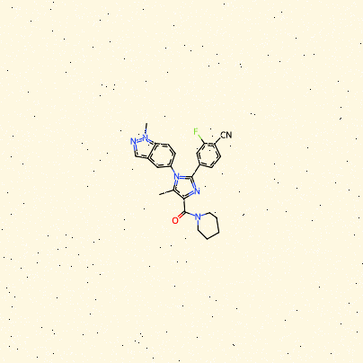 Cc1c(C(=O)N2CCCCC2)nc(-c2ccc(C#N)c(F)c2)n1-c1ccc2c(cnn2C)c1